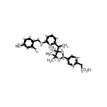 CCOC(=O)Cc1ncc(B2OC(C)(C)C(C)(C(C)c3cccc(OCc4ccc(C#N)cc4F)n3)O2)cn1